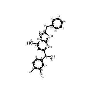 Cc1ccc(C(S)c2cc(O)n3nc(Cc4ccccc4)nc3n2)cc1F